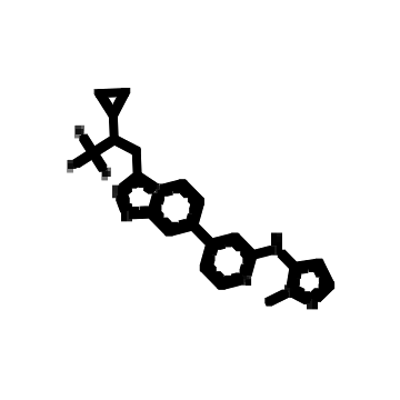 Cn1nccc1Nc1cc(-c2ccn3c(CC(C4CC4)C(F)(F)F)nnc3c2)ccn1